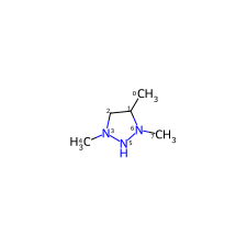 CC1CN(C)NN1C